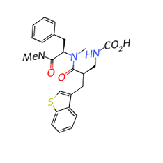 CNC(=O)[C@@H](Cc1ccccc1)N(C)C(=O)[C@@H](CNC(=O)O)Cc1csc2ccccc12